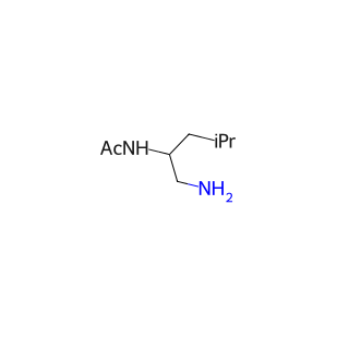 CC(=O)NC(CN)CC(C)C